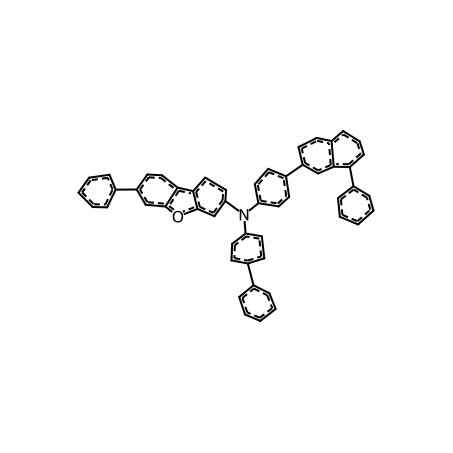 c1ccc(-c2ccc(N(c3ccc(-c4ccc5cccc(-c6ccccc6)c5c4)cc3)c3ccc4c(c3)oc3cc(-c5ccccc5)ccc34)cc2)cc1